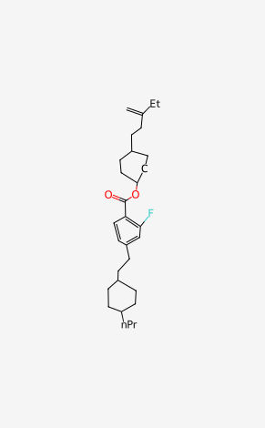 C=C(CC)CCC1CCC(OC(=O)c2ccc(CCC3CCC(CCC)CC3)cc2F)CC1